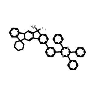 CC1(C)C2=CC3c4ccccc4C4(CCCCC4)C3C=C2c2cc(-c3cccc(-c4nc(-c5ccccc5)c(-c5ccccc5)nc4-c4ccccc4)c3)ccc21